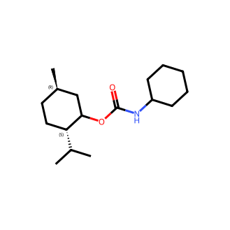 CC(C)[C@@H]1CC[C@@H](C)CC1OC(=O)NC1CCCCC1